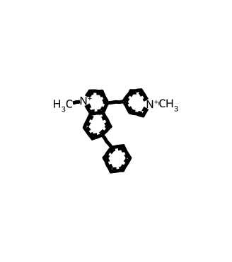 C[n+]1ccc(-c2cc[n+](C)c3ccc(-c4ccccc4)cc23)cc1